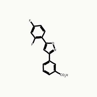 O=C(O)c1cccc(-c2cc(-c3ccc(F)cc3F)on2)c1